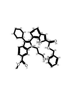 COC(=O)c1ccc2c(C3CCCCC3)c(-c3cccc4cc(C(=O)OCc5ccccc5)[nH]c34)n(CCCO)c2c1